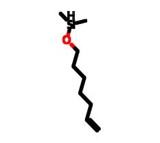 C=CCCCCCO[SiH](C)C